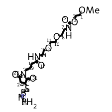 COCCOC(=O)NCCOCCOCCNC(=O)CCCN1C(=O)CC(S/B=N/P)C1=O